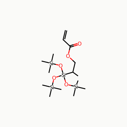 C=CC(=O)OCC(C)[Si](O[Si](C)(C)C)(O[Si](C)(C)C)O[Si](C)(C)C